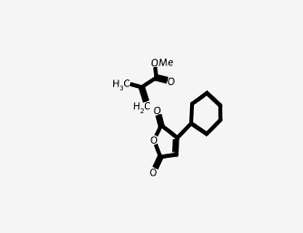 C=C(C)C(=O)OC.O=C1C=C(C2CCCCC2)C(=O)O1